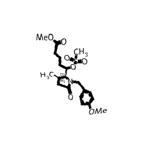 COC(=O)CCCC(OS(C)(=O)=O)[C@@H]1[C@H](C)CC(=O)N1Cc1ccc(OC)cc1